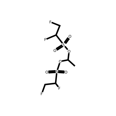 CC(OS(=O)(=O)C(F)CF)OS(=O)(=O)C(F)CF